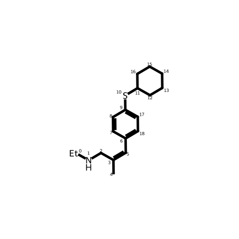 CCNCC(C)=Cc1ccc(SC2CCCCC2)cc1